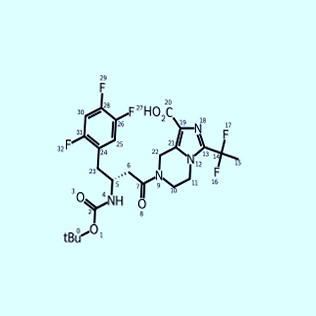 CC(C)(C)OC(=O)N[C@@H](CC(=O)N1CCn2c(C(C)(F)F)nc(C(=O)O)c2C1)Cc1cc(F)c(F)cc1F